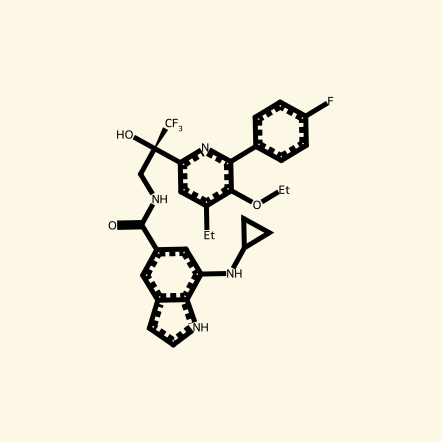 CCOc1c(CC)cc([C@@](O)(CNC(=O)c2cc(NC3CC3)c3[nH]ccc3c2)C(F)(F)F)nc1-c1ccc(F)cc1